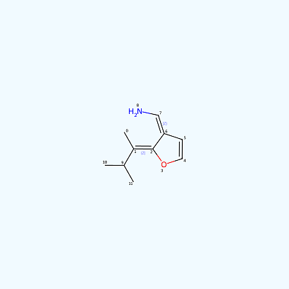 C/C(=c1/occ/c1=C/N)C(C)C